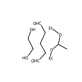 CCOC(C)OCC.O=CCCCC=O.OCCO